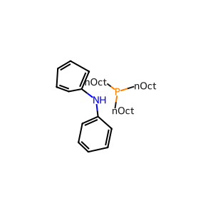 CCCCCCCCP(CCCCCCCC)CCCCCCCC.c1ccc(Nc2ccccc2)cc1